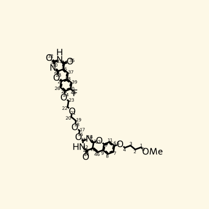 COCCCCOc1ccc2c(c1)OC1=NC(OCOCCOCCOc3cc4oc5nc(=O)[nH]c(=O)c-5cc4cc3F)NC(=O)C1=C2